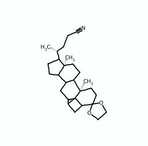 C[C@H](CCC#N)C1CCC2C3CC4C5CC6C7(CC[C@](C)(C3CC[C@@]21C)[C@@]456)OCCO7